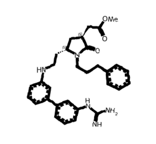 COC(=O)C[C@@H]1C[C@@H](CCNc2cccc(-c3cccc(NC(=N)N)c3)c2)N(CCCc2ccccc2)C1=O